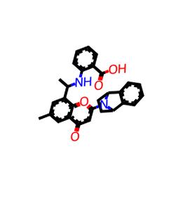 Cc1cc(C(C)Nc2ccccc2C(=O)O)c2oc(N3C4CCC3c3ccccc34)cc(=O)c2c1